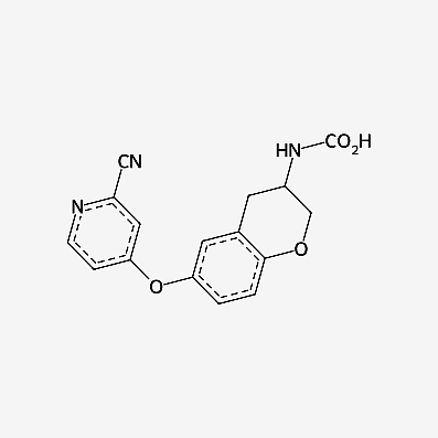 N#Cc1cc(Oc2ccc3c(c2)CC(NC(=O)O)CO3)ccn1